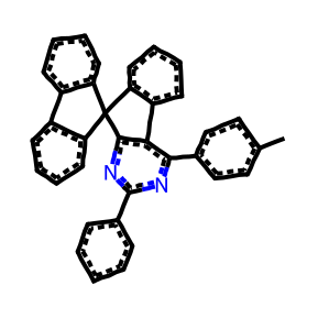 Cc1ccc(-c2nc(-c3ccccc3)nc3c2-c2ccccc2C32c3ccccc3-c3ccccc32)cc1